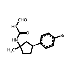 CC1(NC(=O)NC=O)CC[C@H](c2ccc(Br)cc2)C1